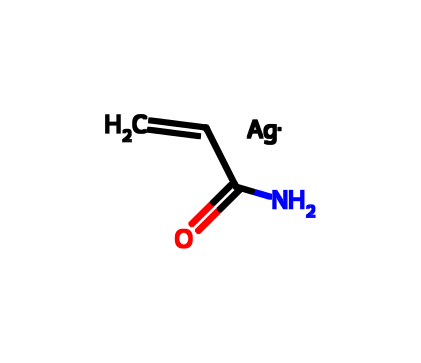 C=CC(N)=O.[Ag]